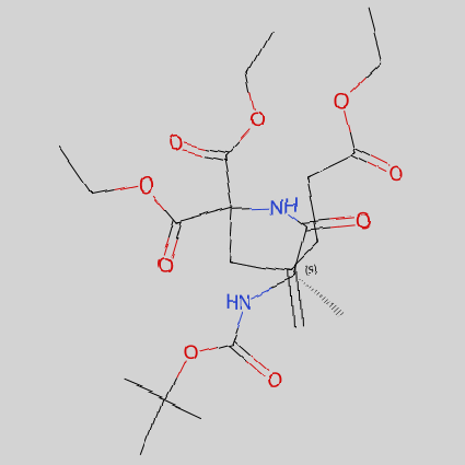 C=C(CCC(=O)OCC)CC(NC(=O)[C@H](C)NC(=O)OC(C)(C)C)(C(=O)OCC)C(=O)OCC